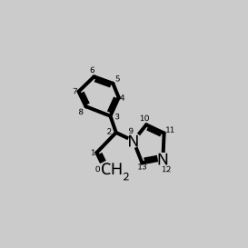 C=CC(c1ccccc1)n1ccnc1